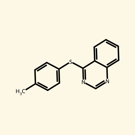 Cc1ccc(Sc2ncnc3ccccc23)cc1